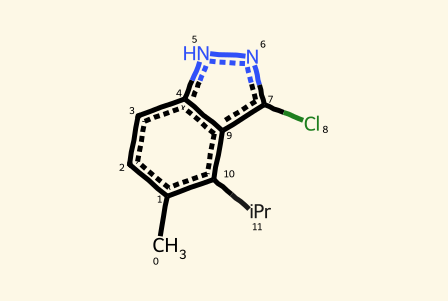 Cc1ccc2[nH]nc(Cl)c2c1C(C)C